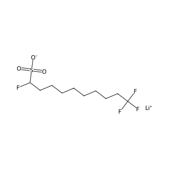 O=S(=O)([O-])C(F)CCCCCCCCC(F)(F)F.[Li+]